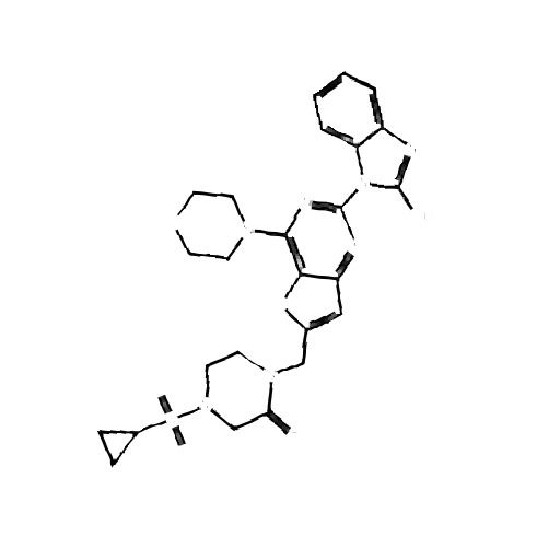 Cc1nc2ccccc2n1-c1nc(N2CCOCC2)c2sc(CN3CCN(S(=O)(=O)C4CC4)CC3=O)cc2n1